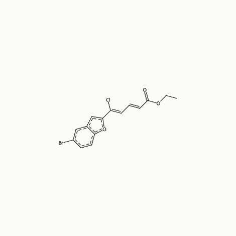 CCOC(=O)C=C/C=C(\Cl)c1cc2cc(Br)ccc2o1